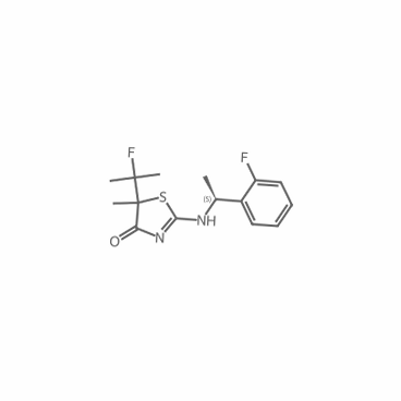 C[C@H](NC1=NC(=O)C(C)(C(C)(C)F)S1)c1ccccc1F